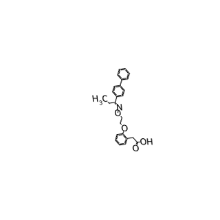 CC/C(=N\OCCOc1ccccc1CC(=O)O)c1ccc(-c2ccccc2)cc1